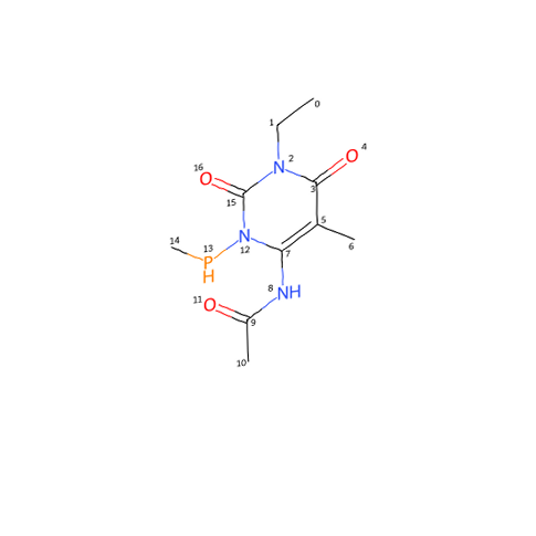 CCn1c(=O)c(C)c(NC(C)=O)n(PC)c1=O